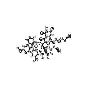 COc1ccc(C(OC[C@H]2O[C@@H](n3ccc(=O)[nH]c3=O)[C@@H](OCOCOCCC#N)[C@H]2OP(OCCC#N)N(C(C)C)C(C)C)(c2ccccc2)c2ccc(OC)cc2)cc1